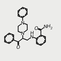 NC(=O)c1ccccc1NCC(C(=O)c1ccccc1)N1CCN(c2ccccc2)CC1